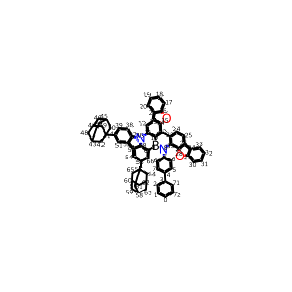 c1ccc(-c2ccc(N3B4c5c(cc6c(oc7ccccc76)c5-c5ccc6c(oc7ccccc76)c53)-n3c5ccc(C67CC8CC(CC(C8)C6)C7)cc5c5cc(C67CC8CC(CC(C8)C6)C7)cc4c53)cc2)cc1